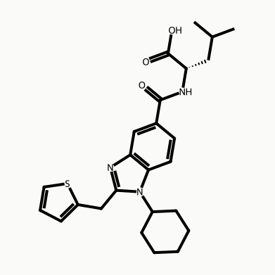 CC(C)C[C@H](NC(=O)c1ccc2c(c1)nc(Cc1cccs1)n2C1CCCCC1)C(=O)O